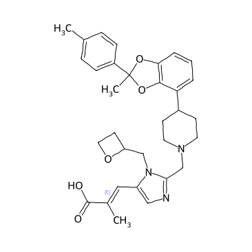 C/C(=C\c1cnc(CN2CCC(c3cccc4c3OC(C)(c3ccc(C)cc3)O4)CC2)n1CC1CCO1)C(=O)O